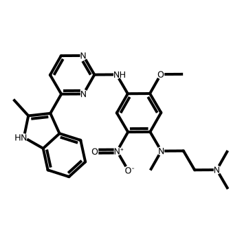 COc1cc(N(C)CCN(C)C)c([N+](=O)[O-])cc1Nc1nccc(-c2c(C)[nH]c3ccccc23)n1